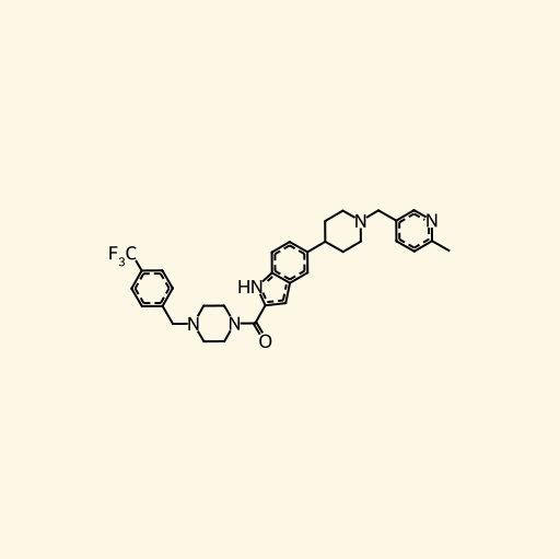 Cc1ccc(CN2CCC(c3ccc4[nH]c(C(=O)N5CCN(Cc6ccc(C(F)(F)F)cc6)CC5)cc4c3)CC2)cn1